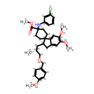 COC(=O)C1(Nc2cccc(Cl)c2)CCC2(CC1)c1cc(OC)c(OC)cc1CC2C[C@@H](C)COCc1ccc(OC)cc1